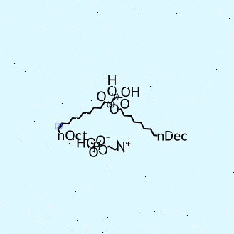 CCCCCCCC/C=C\CCCCCCCC(=O)[C@@H](OC(=O)CCCCCCCCCCCCCCCCC)[C@@H](O)CO.C[N+](C)(C)CCOP(=O)([O-])O